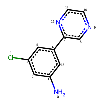 Nc1cc(Cl)cc(-c2cnccn2)c1